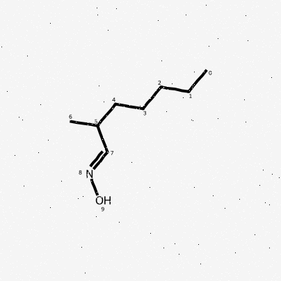 CCCCCC(C)C=NO